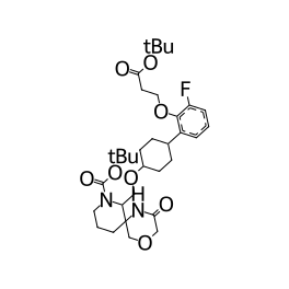 CC(C)(C)OC(=O)CCOc1c(F)cccc1C1CCC(OCC2N(C(=O)OC(C)(C)C)CCCC23COCC(=O)N3)CC1